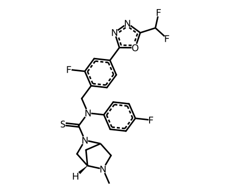 CN1CC2C[C@H]1CN2C(=S)N(Cc1ccc(-c2nnc(C(F)F)o2)cc1F)c1ccc(F)cc1